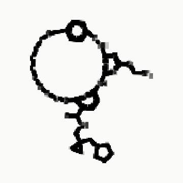 O=C(NCC1(CN2CCCC2)CC1)c1ccc2cc1OCCCCCCCCOc1ccc(cc1)CNc1nc(nc(OCC(F)(F)F)n1)N2